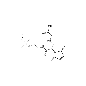 CC(C)(CO)OCCNC(=O)C(CNCC(=O)O)N1C(=O)C=CC1=O